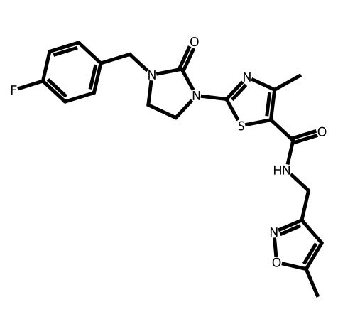 Cc1cc(CNC(=O)c2sc(N3CCN(Cc4ccc(F)cc4)C3=O)nc2C)no1